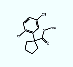 CCCCOC(=O)C1(c2cc(C#N)ccc2Cl)CCCC1